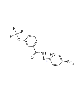 Bc1cc/c(=N/NC(=O)c2cccc(OC(F)(F)F)c2)[nH]c1